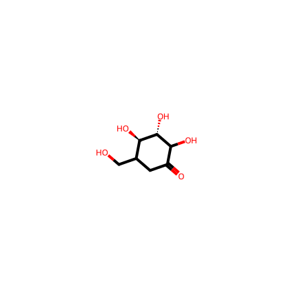 O=C1CC(CO)[C@@H](O)[C@H](O)C1O